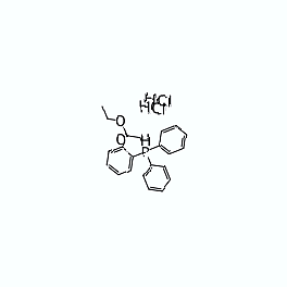 CCOC(=O)C[PH](c1ccccc1)(c1ccccc1)c1ccccc1.Cl.Cl